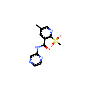 Cc1cnc(S(C)(=O)=O)c(C(=O)Nc2cnccn2)c1